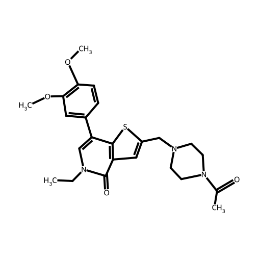 CCn1cc(-c2ccc(OC)c(OC)c2)c2sc(CN3CCN(C(C)=O)CC3)cc2c1=O